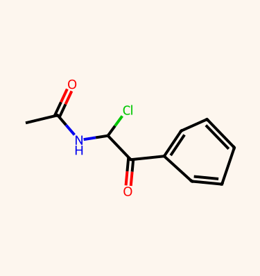 CC(=O)NC(Cl)C(=O)c1ccccc1